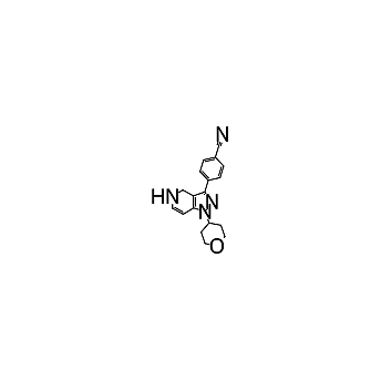 N#Cc1ccc(-c2nn(C3CCOCC3)c3c2CNC=C3)cc1